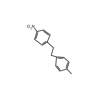 Cc1ccc(C[CH]c2ccc([N+](=O)[O-])cc2)cc1